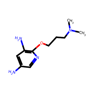 CN(C)CCCOc1ncc(N)cc1N